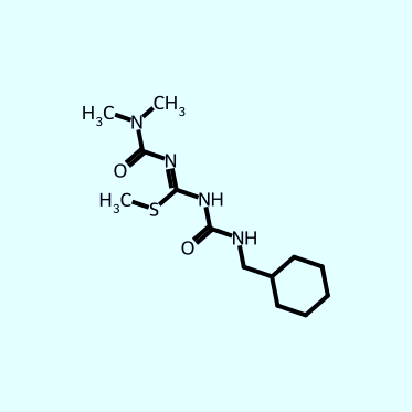 CSC(=NC(=O)N(C)C)NC(=O)NCC1CCCCC1